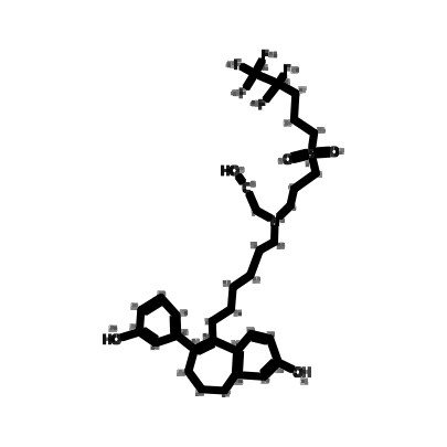 O=S(=O)(CCCN(CCO)CCCCCCC1=C(c2cccc(O)c2)CCCc2cc(O)ccc21)CCCC(F)(F)C(F)(F)F